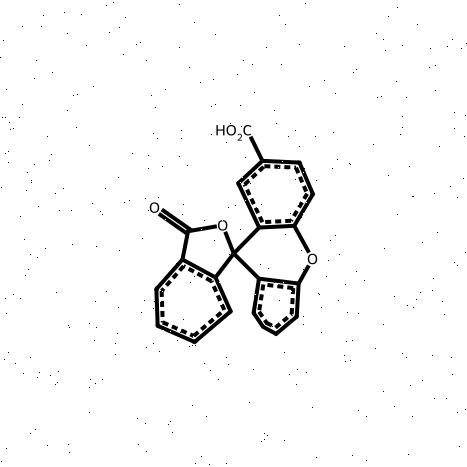 O=C(O)c1ccc2c(c1)C1(OC(=O)c3ccccc31)c1ccccc1O2